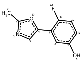 Cc1ncc(-c2cc(O)ccc2F)o1